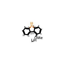 COc1cccc2[pH]c3ccccc3c12.[LiH]